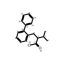 CC(C)C(Cc1ccccc1-c1ccccc1)C(=O)Cl